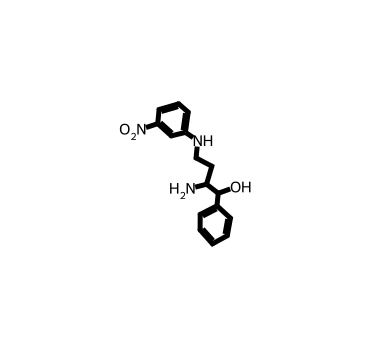 NC(CCNc1cccc([N+](=O)[O-])c1)C(O)c1ccccc1